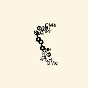 COCN[C@H](C(=O)N1CCC[C@H]1c1nc2ccc(-c3ccc4cc(-c5cnc([C@@H]6CCCN6C(=O)[C@@H](NC(=O)OC)C(C)C)[nH]5)ccc4c3)cc2[nH]1)C(C)C